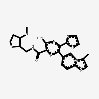 COC1CCOC1CNC(=O)c1nc(-c2ccc3ncc(C)n3c2)c(-c2ncco2)nc1N